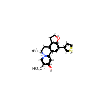 CC(C)(C)[C@@H]1Cc2c(cc(-c3ccsc3)c3c2CCO3)-c2cc(=O)c(C(=O)O)cn21